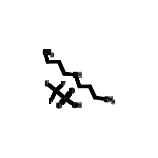 CCCCBCCCC.O=S(=O)(O)C(F)(F)F